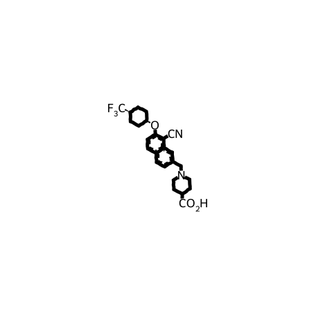 N#Cc1c(O[C@H]2CC[C@@H](C(F)(F)F)CC2)ccc2ccc(CN3CCC(C(=O)O)CC3)cc12